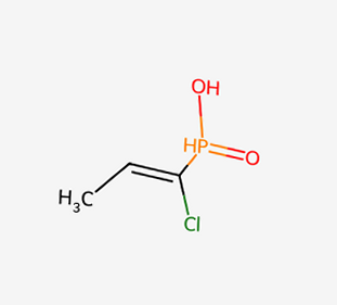 CC=C(Cl)[PH](=O)O